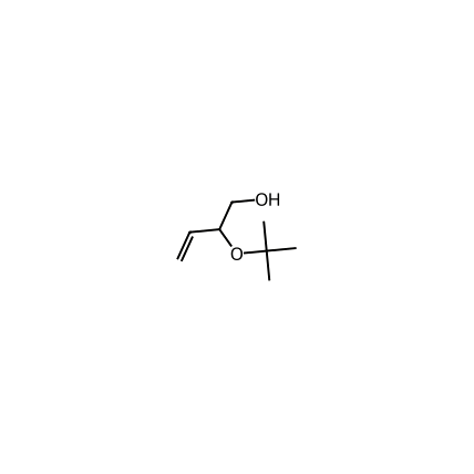 C=CC(CO)OC(C)(C)C